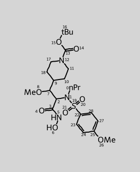 CCCN(C(C(=O)NO)C(OC)C1CCN(C(=O)OC(C)(C)C)CC1)S(=O)(=O)c1ccc(OC)cc1